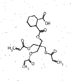 C=CC(=O)OCC(COC(=O)C=C)(COC(=O)C=C)COC(=O)C1CCCCC1C(=O)O